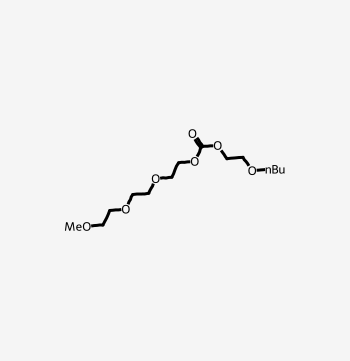 CCCCOCCOC(=O)OCCOCCOCCOC